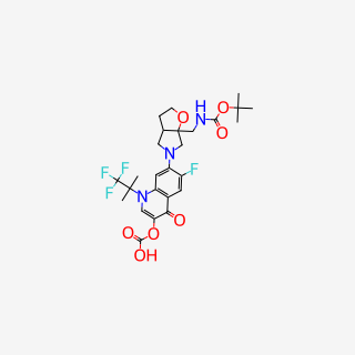 CC(C)(C)OC(=O)NCC12CN(c3cc4c(cc3F)c(=O)c(OC(=O)O)cn4C(C)(C)C(F)(F)F)CC1CCO2